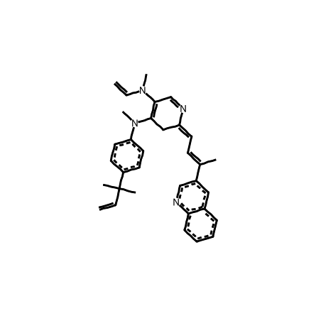 C=CN(C)C1=C(N(C)c2ccc(C(C)(C)C=C)cc2)C/C(=C\C=C(/C)c2cnc3ccccc3c2)N=C1